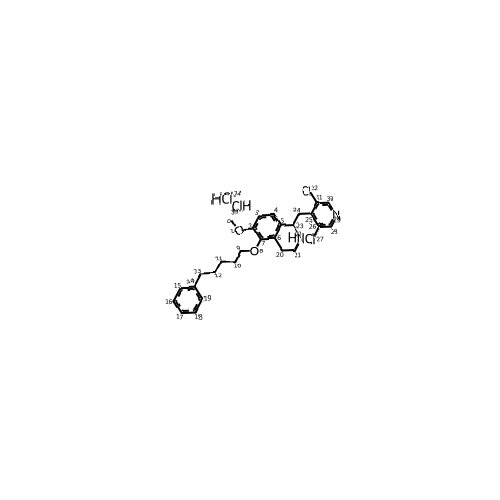 COc1ccc2c(c1OCCCCCc1ccccc1)CCNC2Cc1c(Cl)cncc1Cl.Cl.Cl